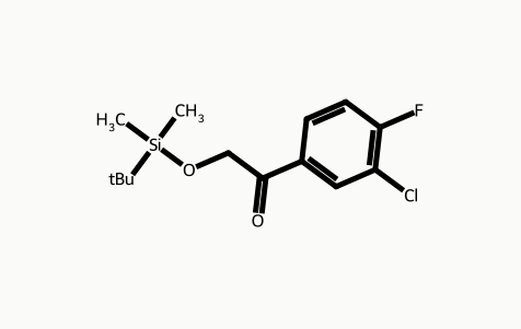 CC(C)(C)[Si](C)(C)OCC(=O)c1ccc(F)c(Cl)c1